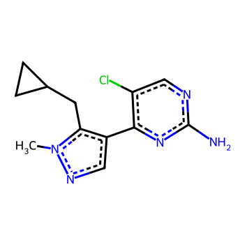 Cn1ncc(-c2nc(N)ncc2Cl)c1CC1CC1